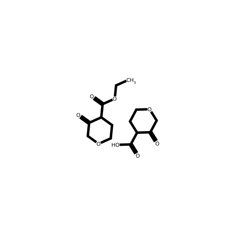 CCOC(=O)C1CCOCC1=O.O=C(O)C1CCOCC1=O